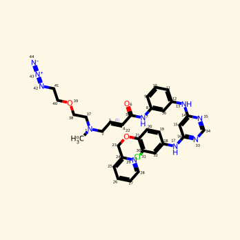 CN(C/C=C/C(=O)Nc1cccc(Nc2cc(Nc3ccc(OCc4ccccn4)c(Cl)c3)ncn2)c1)CCOCCN=[N+]=[N-]